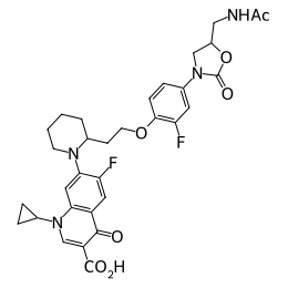 CC(=O)NCC1CN(c2ccc(OCCC3CCCCN3c3cc4c(cc3F)c(=O)c(C(=O)O)cn4C3CC3)c(F)c2)C(=O)O1